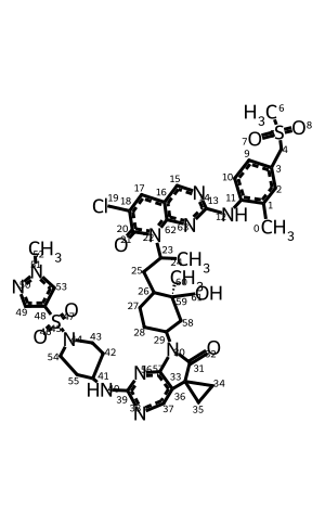 Cc1cc(CS(C)(=O)=O)ccc1Nc1ncc2cc(Cl)c(=O)n(C(C)CC3CCC(N4C(=O)C5(CC5)c5cnc(NC6CCN(S(=O)(=O)c7cnn(C)c7)CC6)nc54)C[C@]3(C)O)c2n1